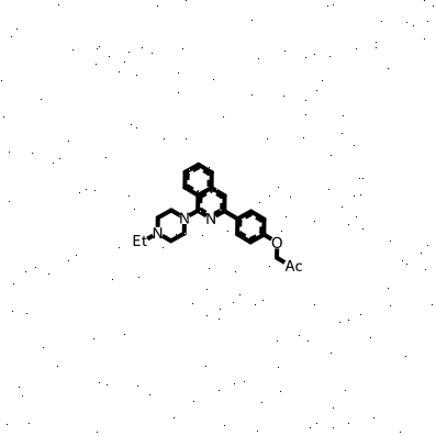 CCN1CCN(c2nc(-c3ccc(OCC(C)=O)cc3)cc3ccccc23)CC1